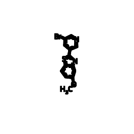 COc1ccc2sc(-c3cncc(Br)c3)nc2c1